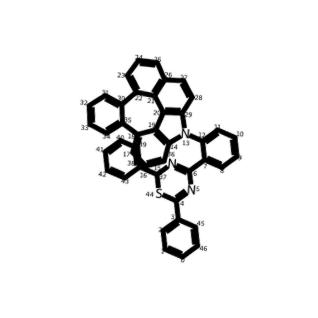 c1ccc(C2=NC(c3ccccc3-n3c4cccc5c4c4c6c(cccc6ccc43)-c3ccccc3-5)=NC(c3ccccc3)S2)cc1